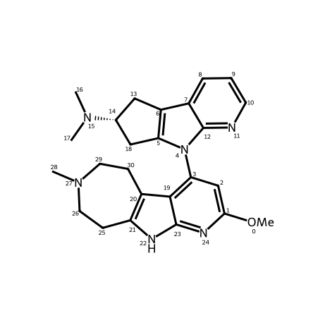 COc1cc(-n2c3c(c4cccnc42)C[C@@H](N(C)C)C3)c2c3c([nH]c2n1)CCN(C)CC3